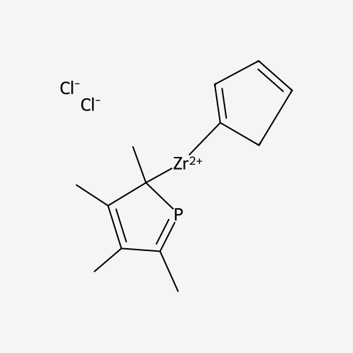 CC1=P[C](C)([Zr+2][C]2=CC=CC2)C(C)=C1C.[Cl-].[Cl-]